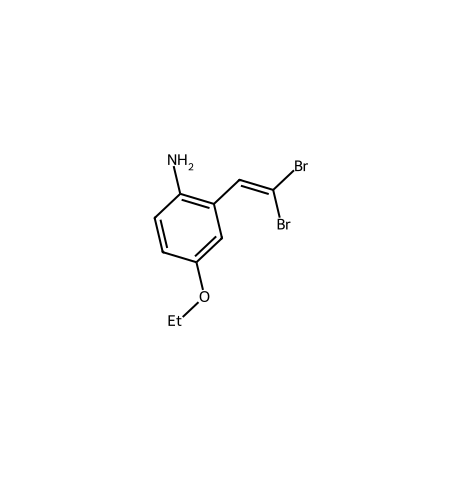 CCOc1ccc(N)c(C=C(Br)Br)c1